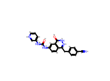 N#Cc1ccc(Cc2n[nH]c(=O)c3cc(NC(=O)Nc4cccnc4)ccc23)cc1